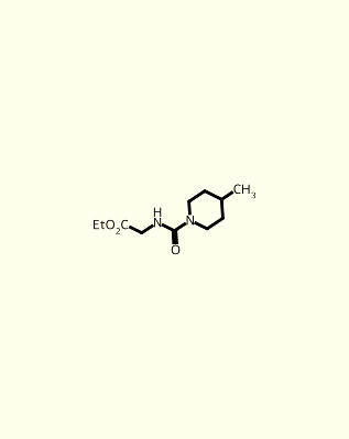 CCOC(=O)CNC(=O)N1CCC(C)CC1